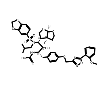 COc1ccccc1-c1nc(COc2ccc(C[C@H](NC(=O)O)[C@@H](O)C([C@@H]3CO[C@H]4OCC[C@H]43)N(CC(C)C)S(=O)(=O)c3ccc4c(c3)OCO4)cc2)no1